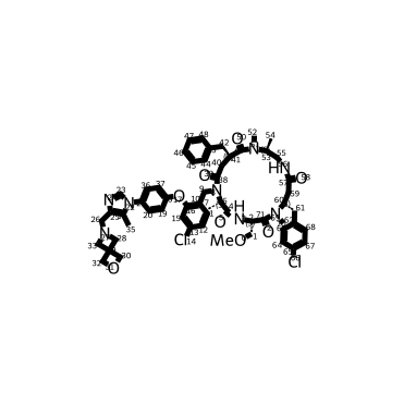 COC[C@@H]1NC(=O)[C@H](C)N(Cc2ccc(Cl)cc2Oc2ccc(-n3cnc(CN4CC5(COC5)C4)c3C)cc2)C(=O)C[C@@H](Cc2ccccc2)C(=O)N(C)[C@@H](C)CNC(=O)C[C@H](Cc2ccc(Cl)cc2)N(C)C1=O